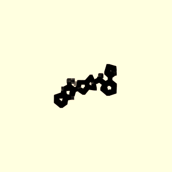 Cc1nc2ccccc2nc1N1CC2CN(C(=O)c3ccccc3-c3cccs3)CC2C1